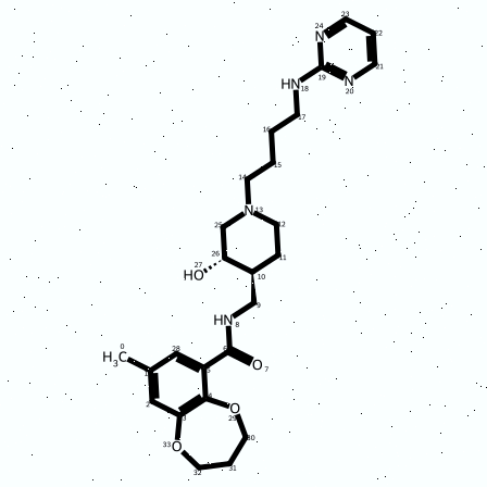 Cc1cc2c(c(C(=O)NC[C@@H]3CCN(CCCCNc4ncccn4)C[C@H]3O)c1)OCCCO2